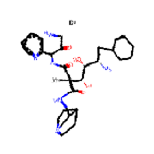 CC[C@H](C)[C@H](N)C(=O)C(NC(=O)[C@](C(=O)NC1CN2CCC1CC2)(C(C)C)[C@@H](O)[C@H](O)[C@@H](N)CC1CCCCC1)c1ccccn1